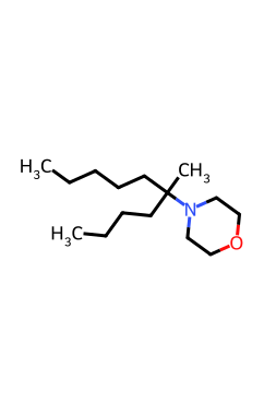 CCCCCC(C)(CCCC)N1CCOCC1